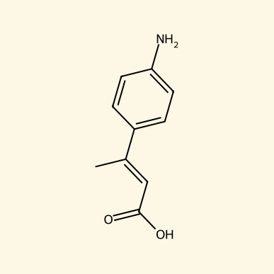 CC(=CC(=O)O)c1ccc(N)cc1